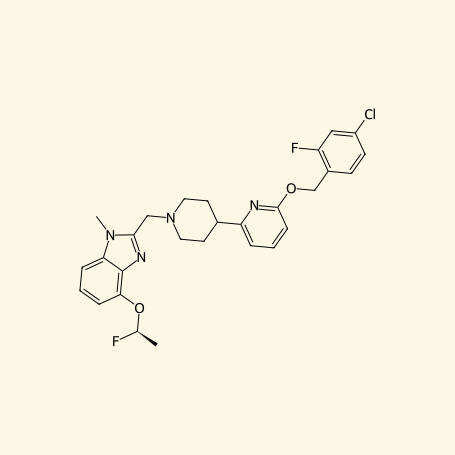 C[C@@H](F)Oc1cccc2c1nc(CN1CCC(c3cccc(OCc4ccc(Cl)cc4F)n3)CC1)n2C